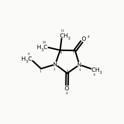 C[CH]N1C(=O)N(C)C(=O)C1(C)C